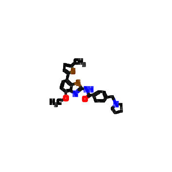 COc1ccc(-c2ccc(C)s2)c2sc(NC(=O)c3ccc(CN4CCCC4)cc3)nc12